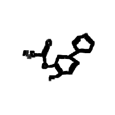 CC(=O)Oc1cc(-c2ccccc2)ccc1F